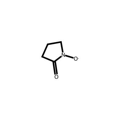 [O]N1CCCC1=O